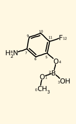 COB(O)Oc1cc(N)ccc1F